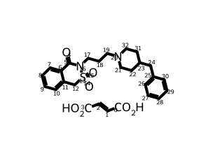 O=C(O)/C=C/C(=O)O.O=C1c2ccccc2CS(=O)(=O)N1CCCN1CCC(Cc2ccccc2)CC1